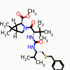 COC(=O)[C@@H]1[C@@H]2[C@H](CN1C(=O)[C@@H](NC(=O)N[C@H](CSCc1ccccc1)C(C)C)C(C)(C)C)C2(C)C